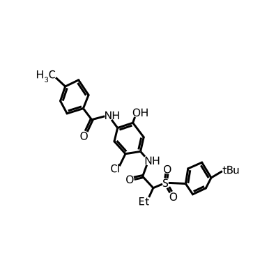 CCC(C(=O)Nc1cc(O)c(NC(=O)c2ccc(C)cc2)cc1Cl)S(=O)(=O)c1ccc(C(C)(C)C)cc1